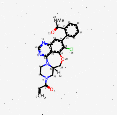 C=CC(=O)N1CCN2c3ncnc4cc(-c5ccccc5C(=O)NC)c(Cl)c(c34)OC[C@@H]2C1